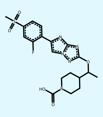 CC(Oc1nn2cc(-c3ccc(S(C)(=O)=O)cc3F)nc2s1)C1CCN(C(=O)O)CC1